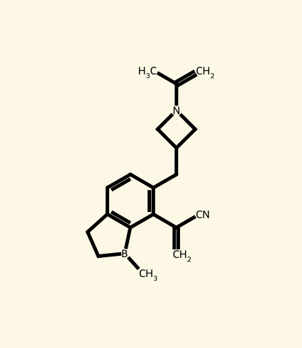 C=C(C#N)c1c(CC2CN(C(=C)C)C2)ccc2c1B(C)CC2